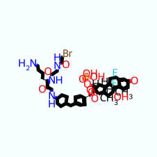 C[C@]12C=CC(=O)C=C1[C@@H](F)C[C@H]1[C@@H]3C[C@H]4O[C@@H](c5ccc(CC6CCC(NCC(=O)[C@H](CCCCN)NC(=O)CNC(=O)CBr)CC6)cc5)O[C@@]4(C(=O)COP(=O)(O)O)[C@@]3(C)C[C@H](O)[C@@]12F